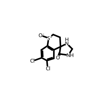 O=C1NCNC12CC[S+]([O-])c1cc(Cl)c(Cl)cc12